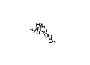 CC/C=C\C(C(=O)NCc1ccc(Oc2cccc(F)c2)cc1)=C(/C)N